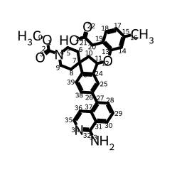 COC(=O)N1CCC2(CC1)CC(Oc1cc(C)ccc1CC(=O)O)c1cc(-c3cccc4c(N)nccc34)ccc12